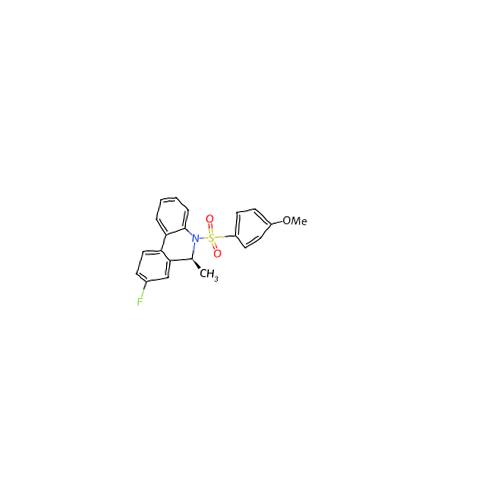 COc1ccc(S(=O)(=O)N2c3ccccc3-c3ccc(F)cc3[C@@H]2C)cc1